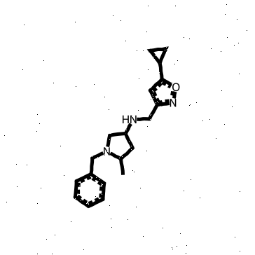 CC1CC(NCc2cc(C3CC3)on2)CN1Cc1ccccc1